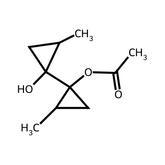 CC(=O)OC1(C2(O)CC2C)CC1C